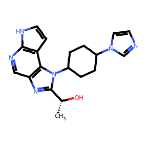 C[C@@H](O)c1nc2cnc3[nH]ccc3c2n1C1CCC(n2ccnc2)CC1